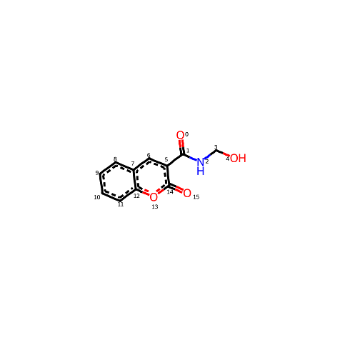 O=C(NCO)c1cc2ccccc2oc1=O